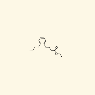 CCCCc1ccccc1CCCC(=O)OCCC